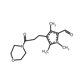 Cc1c(CCC(=O)N2CCOCC2)c(C)n(C)c1C=O